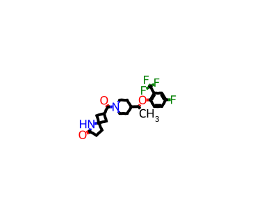 CC(Oc1ccc(F)cc1C(F)(F)F)C1CCN(C(=O)C2CC3(CCC(=O)N3)C2)CC1